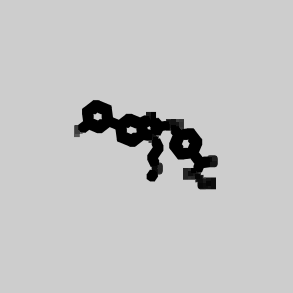 COCCn1c(Nc2ccc(C(=O)NO)cc2)nc2cc(-c3cccc(F)c3)ccc21